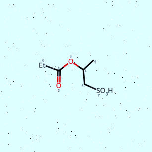 CCC(=O)OC(C)CS(=O)(=O)O